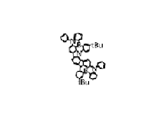 CC(C)(C)c1ccc2c(c1)B1c3ccccc3N(c3ccccc3)c3ccc4c(c31)C2c1ccc2c3ccc5c6c3n(c2c1-4)-c1ccc(C(C)(C)C)cc1B6c1ccccc1N5c1ccccc1